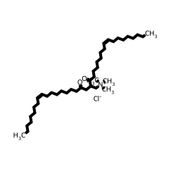 CCCCCCCC/C=C\CCCCCCCC(=O)CC(C[N+](C)(C)C)C(=O)CCCCCCC/C=C\CCCCCCCC.[Cl-]